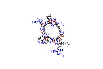 CC(=O)N[C@@H](CCCNC(=N)N)C(=O)N[C@H]1CCC(=O)NCCCC(C(N)=O)NC(=O)[C@H](Cc2c[nH]c3ccccc23)NC(=O)[C@H](CCCNC(=N)N)NC(=O)[C@@H](Cc2ccccc2)NC(=O)[C@H](CCCN)NC1=O